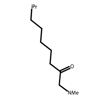 CNCC(=O)CCCCCC(C)C